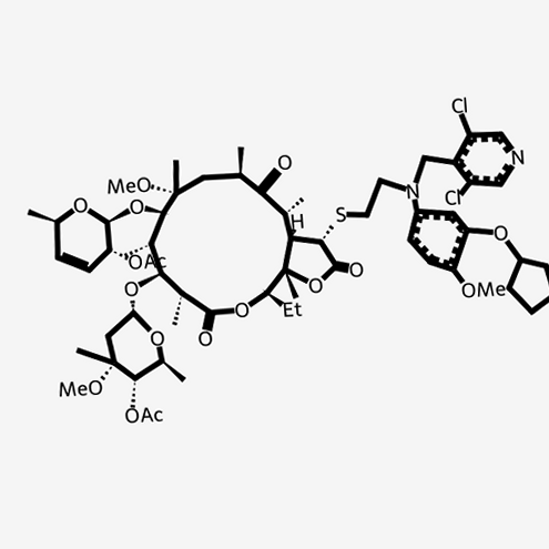 CC[C@H]1OC(=O)[C@H](C)[C@@H](O[C@H]2C[C@@](C)(OC)[C@@H](OC(C)=O)[C@H](C)O2)[C@H](C)[C@@H](O[C@@H]2O[C@H](C)C=C[C@H]2OC(C)=O)[C@](C)(OC)C[C@@H](C)C(=O)[C@H](C)[C@H]2[C@H](SCCN(Cc3c(Cl)cncc3Cl)c3ccc(OC)c(OC4CCCC4)c3)C(=O)O[C@@]21C